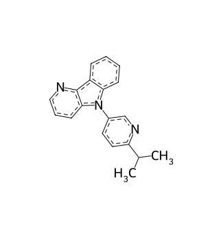 CC(C)c1ccc(-n2c3ccccc3c3ncccc32)cn1